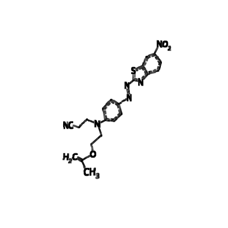 C=C(C)OCCN(CCC#N)c1ccc(/N=N/c2nc3ccc([N+](=O)[O-])cc3s2)cc1